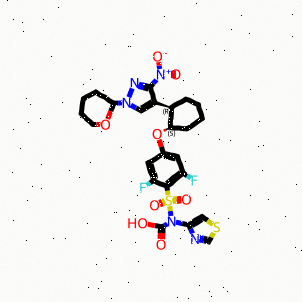 O=C(O)N(c1cscn1)S(=O)(=O)c1c(F)cc(O[C@H]2CCCC[C@@H]2c2cn(C3CCCCO3)nc2[N+](=O)[O-])cc1F